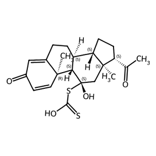 CC(=O)[C@H]1CC[C@H]2[C@@H]3CCC4=CC(=O)C=C[C@]4(C)[C@H]3[C@@](O)(SC(O)=S)C[C@]12C